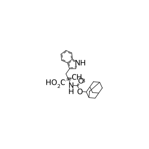 C[C@](Cc1c[nH]c2ccccc12)(NC(=O)OC1C2CC3CC(C2)CC1C3)C(=O)O